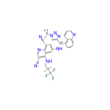 CC1(n2cc([C@@H](Nc3cc(C#N)c4ncc(C#N)c(NCC(C)(C)C(F)(F)F)c4c3)c3cccc4ncccc34)nn2)CC1